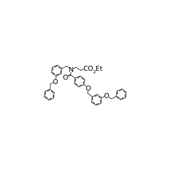 CCOC(=O)CCN(Cc1cccc(OCc2ccccc2)c1)C(=O)c1ccc(OCc2cccc(OCc3ccccc3)c2)cc1